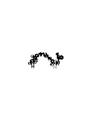 COc1cc(N2CC(N3CCN(CC4CN(c5ccc6c(c5)C(=O)N(C5CCC(=O)NC5=O)C6=O)C4)CC3)C2)ccc1Nc1nccc(-c2cn(C3CC3)c3ccccc23)n1